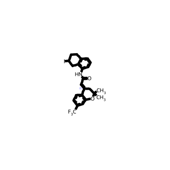 CC1(C)C/C(=C\C(=O)Nc2cccc3c2CC(I)CC3)c2ccc(C(F)(F)F)cc2O1